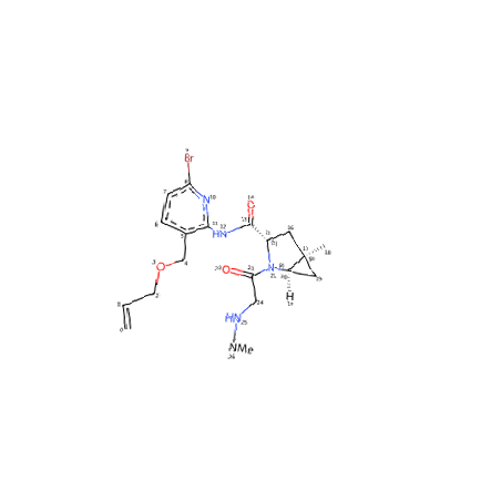 C=CCOCc1ccc(Br)nc1NC(=O)[C@@H]1C[C@@]2(C)C[C@H]2N1C(=O)CNNC